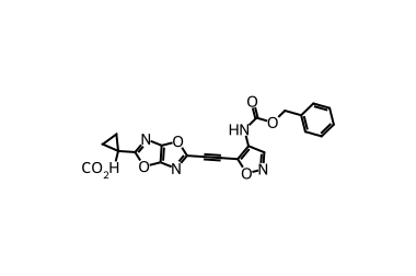 O=C(Nc1cnoc1C#Cc1nc2oc(C3(C(=O)O)CC3)nc2o1)OCc1ccccc1